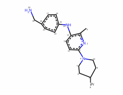 Cc1nc(N2CCC(C(C)C)CC2)ccc1Nc1ccc(CN)cc1